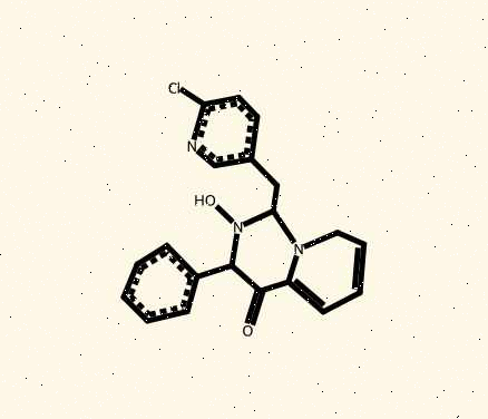 O=C1C2=CC=CCN2C(Cc2ccc(Cl)nc2)N(O)C1c1ccccc1